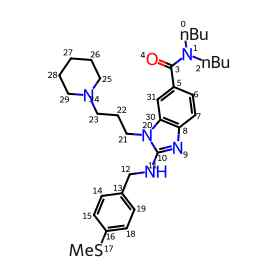 CCCCN(CCCC)C(=O)c1ccc2nc(NCc3ccc(SC)cc3)n(CCCN3CCCCC3)c2c1